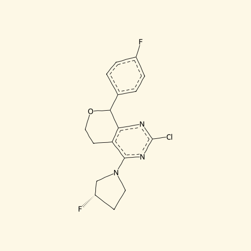 Fc1ccc(C2OCCc3c2nc(Cl)nc3N2CC[C@H](F)C2)cc1